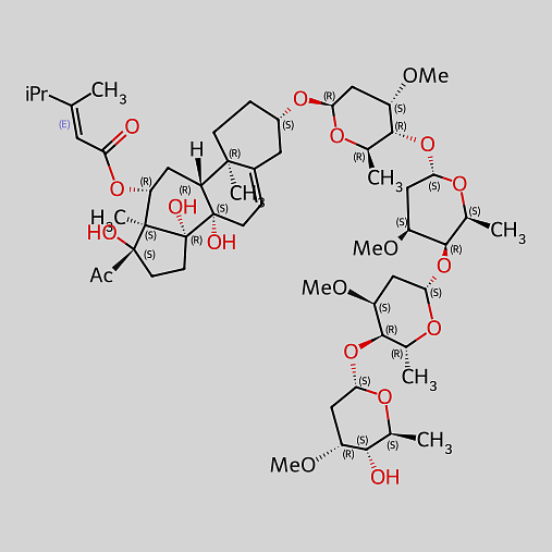 CO[C@H]1C[C@H](O[C@H]2[C@@H](OC)C[C@H](O[C@H]3CC[C@@]4(C)C(=CC[C@]5(O)[C@@H]4C[C@@H](OC(=O)/C=C(\C)C(C)C)[C@@]4(C)[C@]5(O)CC[C@@]4(O)C(C)=O)C3)O[C@@H]2C)O[C@@H](C)[C@H]1O[C@H]1C[C@H](OC)[C@H](O[C@H]2C[C@@H](OC)[C@@H](O)[C@H](C)O2)[C@@H](C)O1